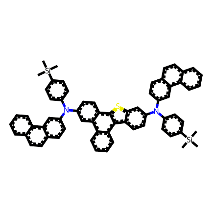 C[Si](C)(C)c1ccc(N(c2ccc3c(c2)sc2c4ccc(N(c5ccc([Si](C)(C)C)cc5)c5ccc6ccc7ccccc7c6c5)cc4c4ccccc4c32)c2ccc3ccc4ccccc4c3c2)cc1